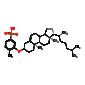 Cc1ccc(S(=O)(=O)O)cc1OC1CC[C@@]2(C)C(=CCC3C2CC[C@@]2(C)C3CC[C@@H]2[C@H](C)CCCC(C)C)C1